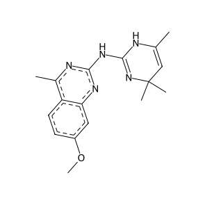 COc1ccc2c(C)nc(NC3=NC(C)(C)C=C(C)N3)nc2c1